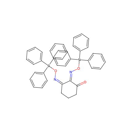 O=C1CCCC(=N/O[Si](c2ccccc2)(c2ccccc2)c2ccccc2)/C1=N/O[Si](c1ccccc1)(c1ccccc1)c1ccccc1